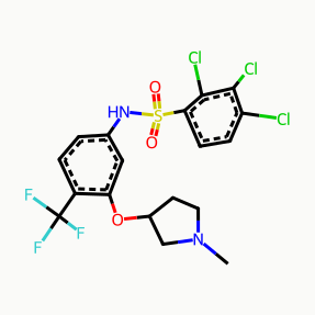 CN1CCC(Oc2cc(NS(=O)(=O)c3ccc(Cl)c(Cl)c3Cl)ccc2C(F)(F)F)C1